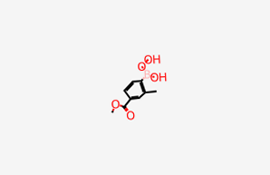 COC(=O)c1ccc(B(O)OO)c(C)c1